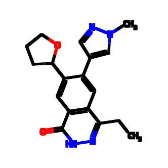 CCc1n[nH]c(=O)c2cc(C3CCCO3)c(-c3cnn(C)c3)cc12